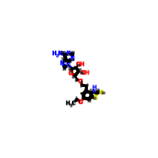 CCOc1cc(CCOC[C@H]2O[C@@H](n3cnc4c(N)ncnc43)[C@H](O)[C@@H]2O)c2[nH]c(=S)sc2c1